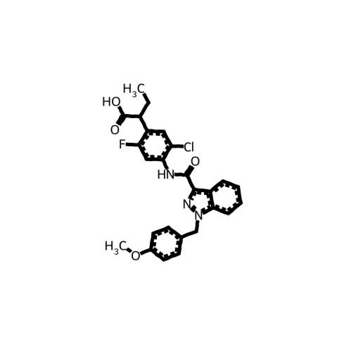 CCC(C(=O)O)c1cc(Cl)c(NC(=O)c2nn(Cc3ccc(OC)cc3)c3ccccc23)cc1F